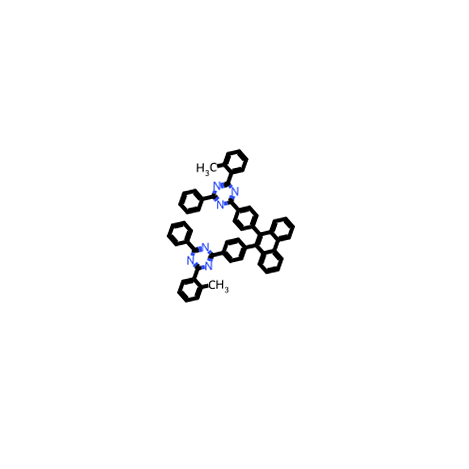 Cc1ccccc1-c1nc(-c2ccccc2)nc(-c2ccc(-c3c(-c4ccc(-c5nc(-c6ccccc6)nc(-c6ccccc6C)n5)cc4)c4ccccc4c4ccccc34)cc2)n1